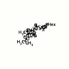 C=C(C)C(=O)OCCOC(=O)OC(COC(=O)CCN1C=CN(CCCCCC)C1)COC(=O)C(=C)C